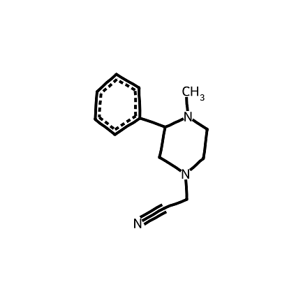 CN1CCN(CC#N)CC1c1ccccc1